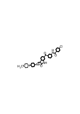 CN1CCN(c2ccc(NC=C3C(=O)Nc4cc(C(=O)c5cccc(NC(=O)c6ccc(Cl)cc6)c5)ccc43)cc2)CC1